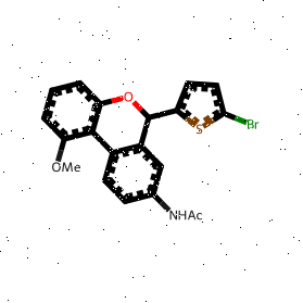 COc1cccc2c1-c1ccc(NC(C)=O)cc1C(c1ccc(Br)s1)O2